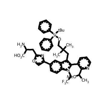 COC(C)c1ncccc1-c1c(CC(C)(C)CO[Si](c2ccccc2)(c2ccccc2)C(C)(C)C)c2cc(-c3coc(CC(N)C(=O)O)n3)ccc2n1CC(F)(F)F